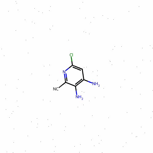 N#Cc1nc(Cl)cc(N)c1N